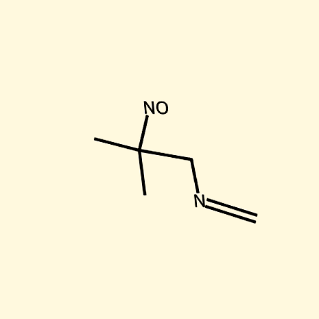 C=NCC(C)(C)N=O